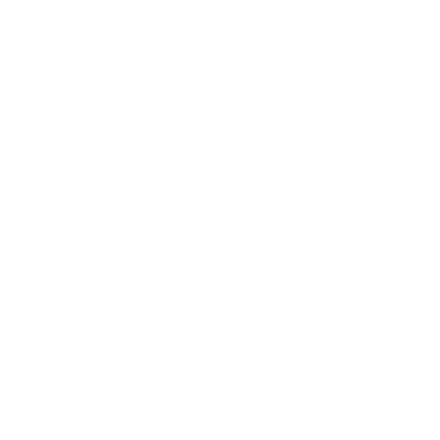 CC=CC(=O)c1ccc2sc3ccc(C(=O)C=CC)cc3c(=O)c2c1